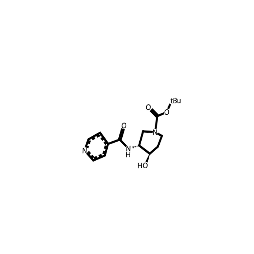 CC(C)(C)OC(=O)N1CC[C@@H](O)[C@H](NC(=O)c2ccncc2)C1